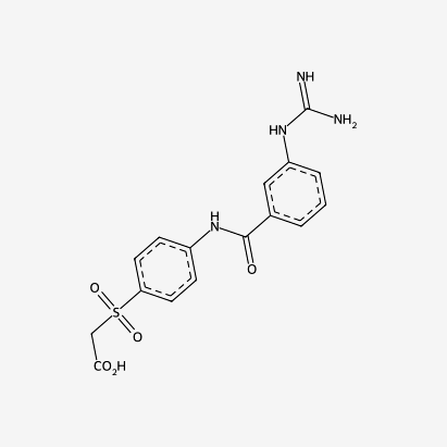 N=C(N)Nc1cccc(C(=O)Nc2ccc(S(=O)(=O)CC(=O)O)cc2)c1